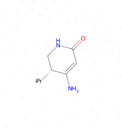 CC(C)[C@@H]1CNC(=O)C=C1N